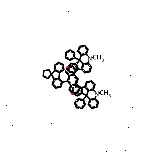 CN1c2ccccc2C(c2ccccc2)(c2ccccc2)c2c(-c3cccc4c(-c5cccc6c5-c5ccccc5C65CCCC5)c5cccc(-c6cccc7c6C(c6ccccc6)(c6ccccc6)c6ccccc6N7C)c5cc34)cccc21